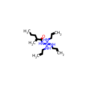 C=CCN[N+](NCC=C)(NCC=C)NC(=O)C(=C)CCC